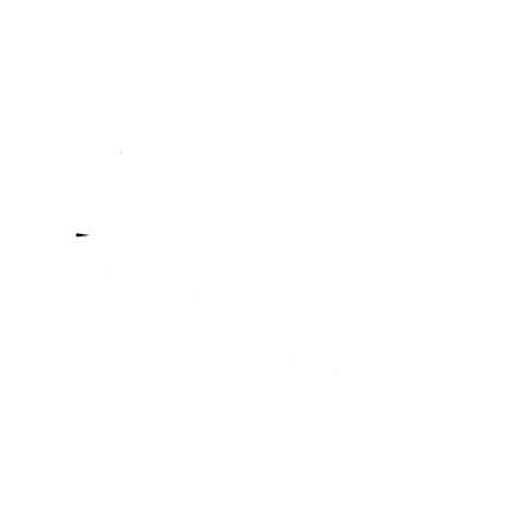 C=C(CCNC(=O)CO[C@@H](C)COC(F)(F)F)n1cnc(-c2ccc(Cl)c(F)c2)c1